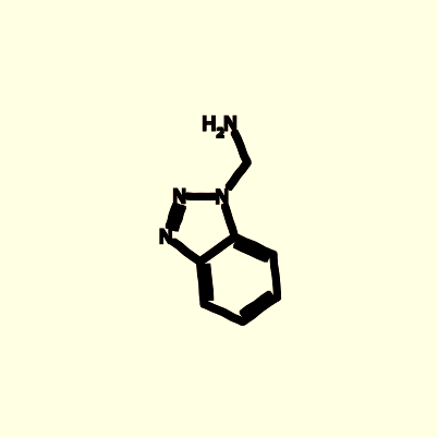 NCn1nnc2ccccc21